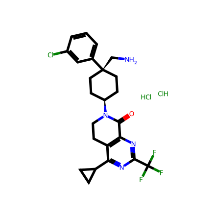 Cl.Cl.NC[C@]1(c2cccc(Cl)c2)CC[C@H](N2CCc3c(nc(C(F)(F)F)nc3C3CC3)C2=O)CC1